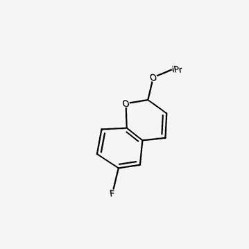 CC(C)OC1C=Cc2cc(F)ccc2O1